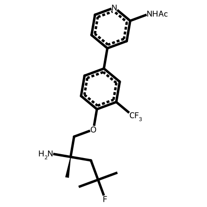 CC(=O)Nc1cc(-c2ccc(OC[C@@](C)(N)CC(C)(C)F)c(C(F)(F)F)c2)ccn1